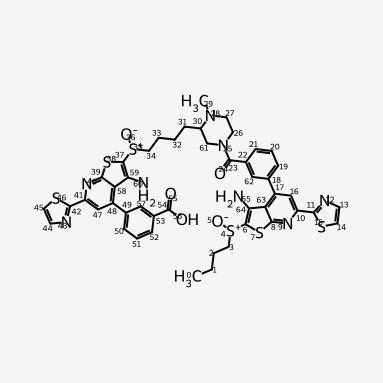 CCCC[S+]([O-])c1sc2nc(-c3nccs3)cc(-c3cccc(C(=O)N4CCN(C)C(CCCC[S+]([O-])c5sc6nc(-c7nccs7)cc(-c7cccc(C(=O)O)c7)c6c5N)C4)c3)c2c1N